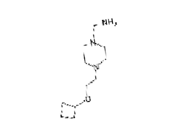 NCN1CCN(CCOC2CCC2)CC1